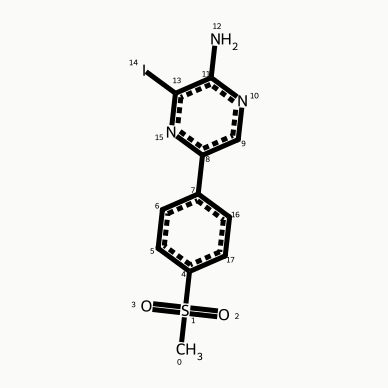 CS(=O)(=O)c1ccc(-c2cnc(N)c(I)n2)cc1